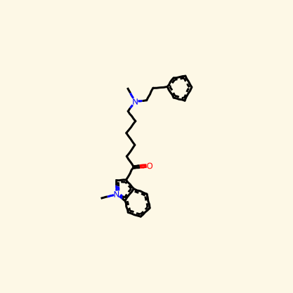 CN(CCCCCC(=O)c1cn(C)c2ccccc12)CCc1ccccc1